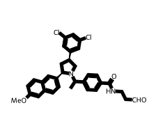 COc1ccc2cc([C@H]3C[C@@H](c4cc(Cl)cc(Cl)c4)CN3C(C)c3ccc(C(=O)NCCC=O)cc3)ccc2c1